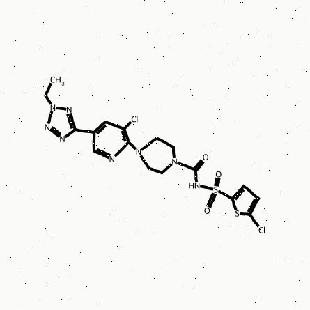 CCn1nnc(-c2cnc(N3CCN(C(=O)NS(=O)(=O)c4ccc(Cl)s4)CC3)c(Cl)c2)n1